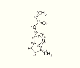 C=CC(=O)OC1C2CC3C1OC1(C)CCC2C31